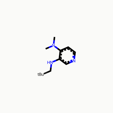 CN(C)c1ccncc1NCC(C)(C)C